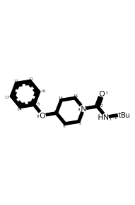 CC(C)(C)NC(=O)N1CCC(Oc2ccccc2)CC1